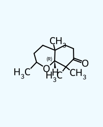 CC1CCC2(C)CCC(=O)C(C)(C)[C@@H]2O1